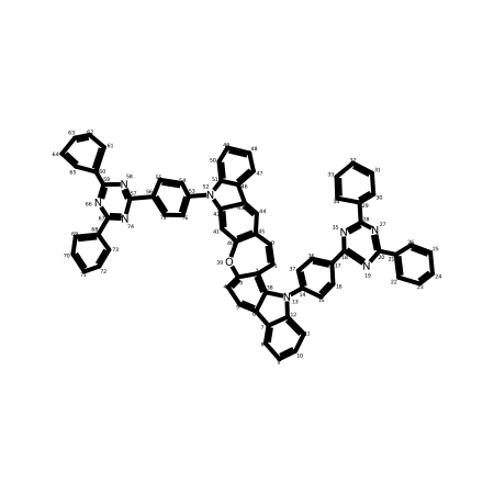 C1=Cc2c(ccc3c4ccccc4n(-c4ccc(-c5nc(-c6ccccc6)nc(-c6ccccc6)n5)cc4)c23)Oc2cc3c(cc21)c1ccccc1n3-c1ccc(-c2nc(-c3ccccc3)nc(-c3ccccc3)n2)cc1